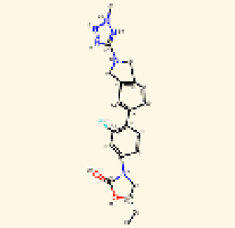 CC[C@H]1CN(c2ccc(-c3ccc4c(c3)CN(c3nnn(C)n3)C4)c(F)c2)C(=O)O1